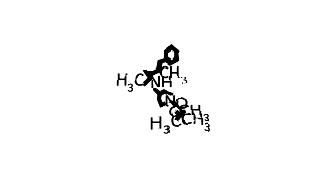 CCC1(NCC2CCN(C(=O)OC(C)(C)C)CC2)CC1/C(C)=C/c1ccccc1